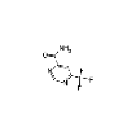 NC(=O)c1cc(C(F)(F)F)ncn1